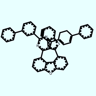 c1ccc2sc(-c3cccc4oc5cccc(-c6cc(C7=CC=C(c8ccccc8)CC7)nc(-c7cccc(-c8ccccc8)c7)n6)c5c34)nc2c#1